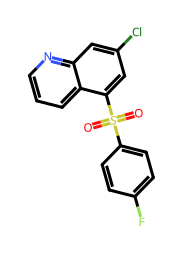 O=S(=O)(c1ccc(F)cc1)c1cc(Cl)cc2ncccc12